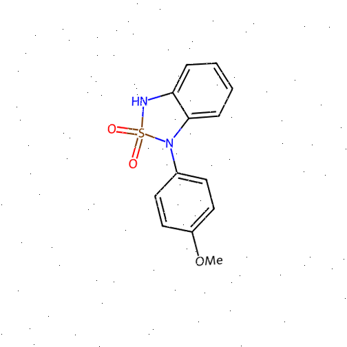 COc1ccc(N2c3ccccc3NS2(=O)=O)cc1